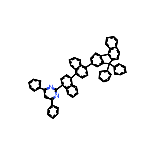 c1ccc(-c2cc(-c3ccccc3)nc(-c3ccc(-c4ccc(-c5ccc6c(c5)C(c5ccccc5)(c5ccccc5)c5ccc7ccccc7c5-6)c5ccccc45)c4ccccc34)n2)cc1